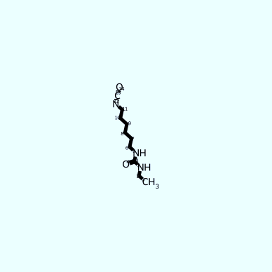 CCNC(=O)NCCCCCCN=C=O